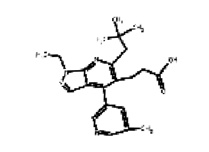 CCn1ncc2c(-c3cncc(C)c3)c(CCC(=O)O)c(CC(C)(C)C)nc21